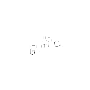 O=C1N2[C@@H](CC[C@H]2c2ccc(F)cc2)OC12CC(Oc1ncnn3cccc13)C2